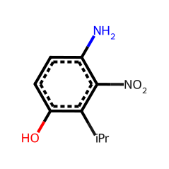 CC(C)c1c(O)ccc(N)c1[N+](=O)[O-]